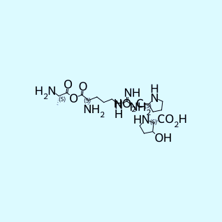 C[C@H](N)C(=O)OC(=O)[C@@H](N)CCCNC(=N)N.O=C(O)[C@@H]1CCCN1.O=C(O)[C@H]1NCCC1O